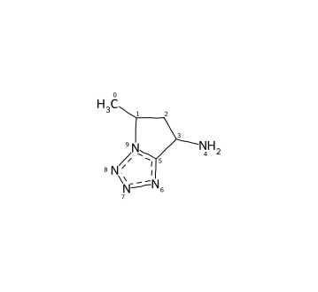 CC1CC(N)c2nnnn21